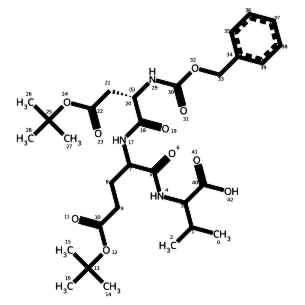 CC(C)C(NC(=O)C(CCC(=O)OC(C)(C)C)NC(=O)[C@H](CC(=O)OC(C)(C)C)NC(=O)OCc1ccccc1)C(=O)O